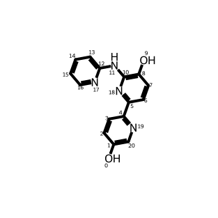 Oc1ccc(-c2ccc(O)c(Nc3ccccn3)n2)nc1